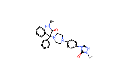 CC(C)NC(=O)C(c1ccccc1)(c1ccccc1)N1CCN(c2ccc(-n3cnn(C(C)C)c3=O)cc2)CC1